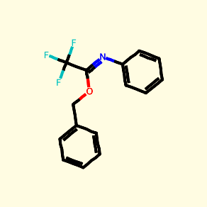 FC(F)(F)/C(=N/c1ccccc1)OCc1ccccc1